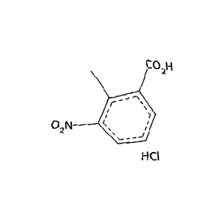 Cc1c(C(=O)O)cccc1[N+](=O)[O-].Cl